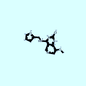 COc1cncc2c(NCc3ccco3)nc(Cl)nc12